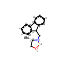 CC(C)(C)[C@H]1COSN1CC1c2ccccc2-c2ccccc21